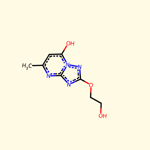 Cc1cc(O)n2nc(OCCO)nc2n1